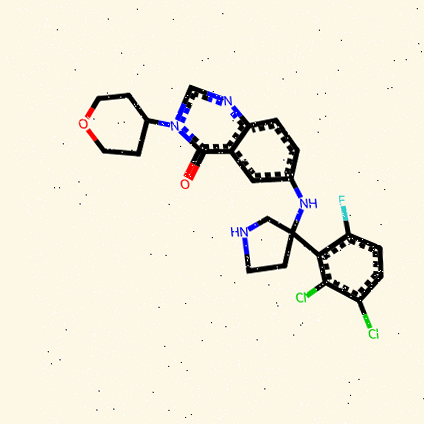 O=c1c2cc(NC3(c4c(F)ccc(Cl)c4Cl)CCNC3)ccc2ncn1C1CCOCC1